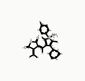 CC(C)=C1C(=O)OC(=O)C1=C(C)C1=C(C)[N+](N)(c2ccc(C)cc2)C(C)=C1c1ccccc1